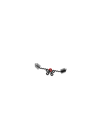 FC(F)(F)C(F)(F)C(F)(F)C(F)(F)CCCCCCc1ccc(C(OC(c2ccccc2)(c2ccccc2)c2ccc(CCCCCCC(F)(F)C(F)(F)C(F)(F)C(F)(F)F)cc2)(c2ccccc2)c2ccccc2)cc1